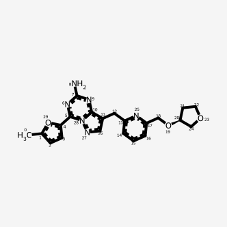 Cc1ccc(-c2nc(N)nc3c(Cc4cccc(CO[C@H]5CCOC5)n4)cnn23)o1